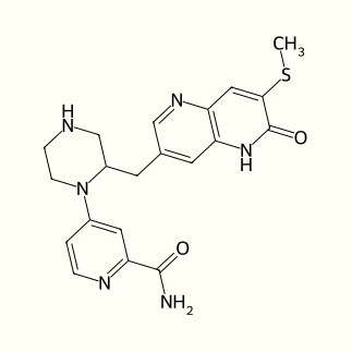 CSc1cc2ncc(CC3CNCCN3c3ccnc(C(N)=O)c3)cc2[nH]c1=O